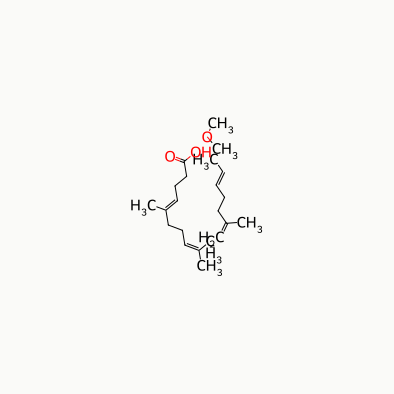 C=C(C)CCC=CC.CC(C)=CCCC(C)=CCCC(=O)O.COC